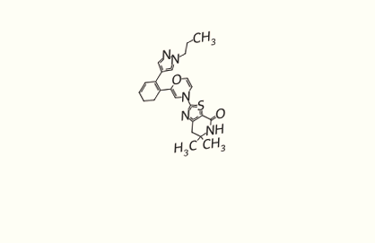 CCCn1cc(C2=C(C3=CN(c4nc5c(s4)C(=O)NC(C)(C)C5)C=CO3)CCC=C2)cn1